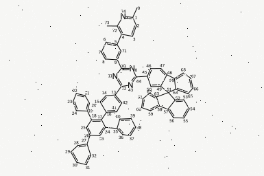 Cc1ccc(-c2cccc(-c3nc(-c4ccc(-c5c(-c6ccccc6)cc(-c6ccccc6)cc5-c5ccccc5)cc4)nc(-c4ccc5c(c4)C4(c6ccccc6-c6ccccc64)c4ccccc4-5)n3)c2)c(C)n1